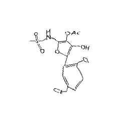 CC(=O)Oc1c(NS(C)(=O)=O)oc(-c2cc(Cl)ccc2Cl)c1O